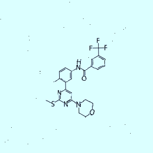 CSc1nc(-c2cc(NC(=O)c3cccc(C(F)(F)F)c3)ccc2C)cc(N2CCOCC2)n1